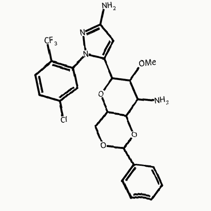 COC1C(c2cc(N)nn2-c2cc(Cl)ccc2C(F)(F)F)OC2COC(c3ccccc3)OC2C1N